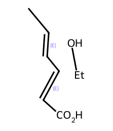 C/C=C/C=C/C(=O)O.CCO